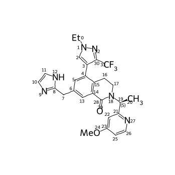 CCn1cc(-c2cc(Cc3ncc[nH]3)cc3c2CCN([C@@H](C)c2cc(OC)ccn2)C3=O)c(C(F)(F)F)n1